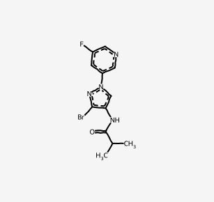 CC(C)C(=O)Nc1cn(-c2cncc(F)c2)nc1Br